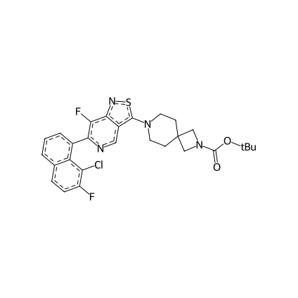 CC(C)(C)OC(=O)N1CC2(CCN(c3snc4c(F)c(-c5cccc6ccc(F)c(Cl)c56)ncc34)CC2)C1